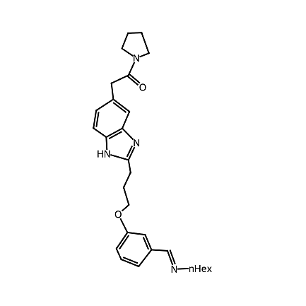 CCCCCCN=Cc1cccc(OCCCc2nc3cc(CC(=O)N4CCCC4)ccc3[nH]2)c1